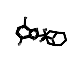 O=C(O)N1C2CCCC1CN(c1nc3c(Cl)ccc(Br)c3o1)C2